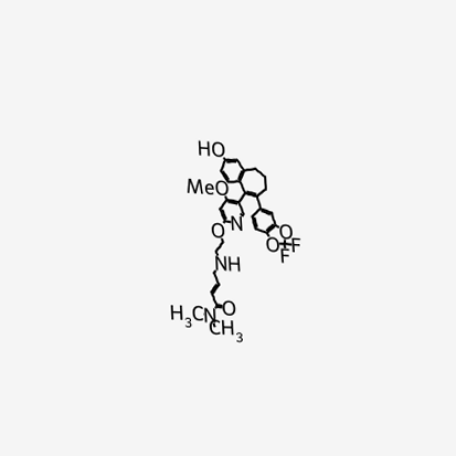 COc1cc(OCCNC/C=C/C(=O)N(C)C)ncc1C1=C(c2ccc3c(c2)OC(F)(F)O3)CCCc2cc(O)ccc21